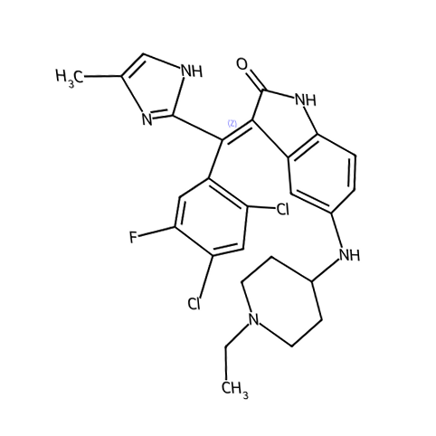 CCN1CCC(Nc2ccc3c(c2)/C(=C(/c2nc(C)c[nH]2)c2cc(F)c(Cl)cc2Cl)C(=O)N3)CC1